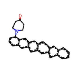 O=C1CCN(c2cccc3cc4cc5cc6cc7ccccc7cc6cc5cc4cc23)CC1